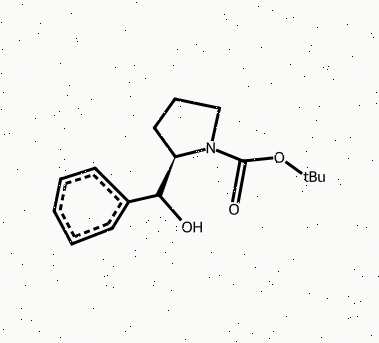 CC(C)(C)OC(=O)N1CCC[C@@H]1C(O)c1ccccc1